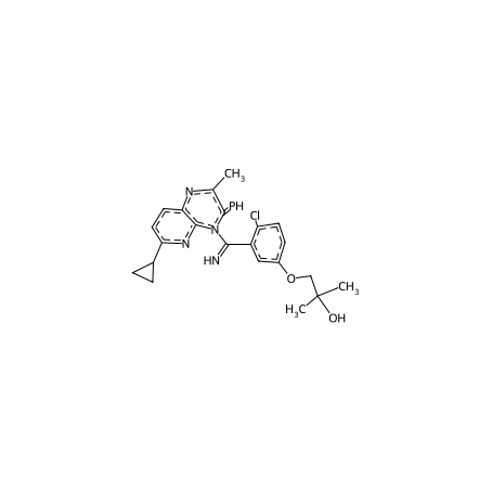 Cc1nc2ccc(C3CC3)nc2n(C(=N)c2cc(OCC(C)(C)O)ccc2Cl)c1=P